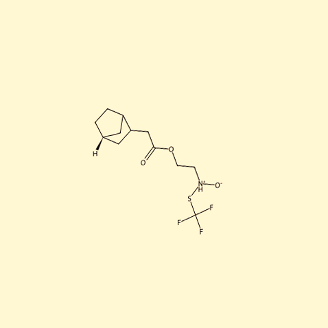 O=C(CC1C[C@@H]2CCC1C2)OCC[NH+]([O-])SC(F)(F)F